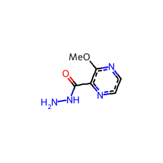 COc1nccnc1C(=O)NN